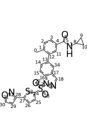 Cc1ccc(C(=O)NC2CC2)cc1-c1ccc2c(cnn2S(=O)(=O)c2ccc(-c3ccon3)s2)c1